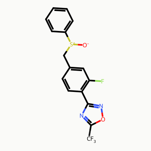 [O-][S+](Cc1ccc(-c2noc(C(F)(F)F)n2)c(F)c1)c1ccccc1